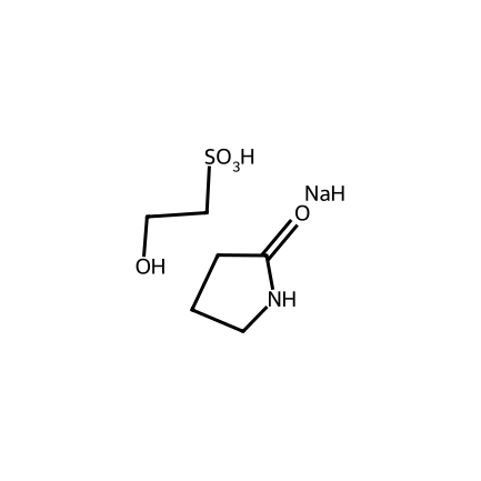 O=C1CCCN1.O=S(=O)(O)CCO.[NaH]